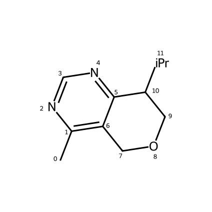 Cc1ncnc2c1COCC2C(C)C